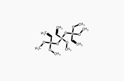 C=C[Si](OC)(OC)O[Si](C=C)(OC)O[Si](C=C)(OC)OC